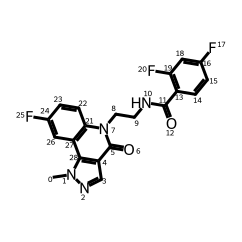 Cn1ncc2c(=O)n(CCNC(=O)c3ccc(F)cc3F)c3ccc(F)cc3c21